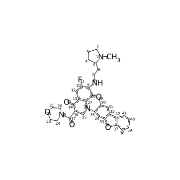 CN1CCCC1CCNc1c(F)cc2c(=O)c(C(=O)N3CCOCC3)cn3c2c1Oc1cc2c(cc1-3)oc1ccccc12